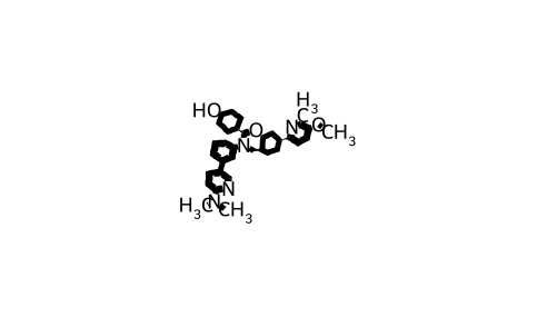 COc1ccc([C@H]2CC[C@H](CN(c3cccc(-c4ccc(N(C)C)nc4)c3)C(=O)[C@H]3CC[C@H](O)CC3)CC2)nc1C